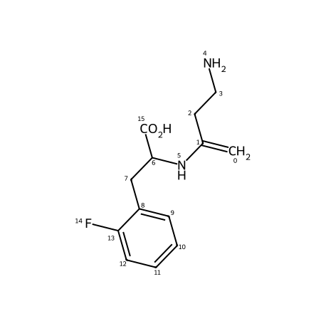 C=C(CCN)NC(Cc1ccccc1F)C(=O)O